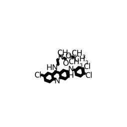 CN(CCNc1c2cc(Cl)ccc2nc2ccc(Nc3ccc(Cl)c(Cl)c3)cc12)C(=O)OC(C)(C)C